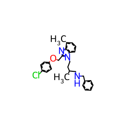 Cc1cccc2c1nc(COc1ccc(Cl)cc1)n2CCC(C)CNCc1ccccc1